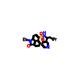 CCN1C(=O)c2cccc3c(S(=O)(=O)NC(CC(C)C)c4cccnc4)ccc1c23